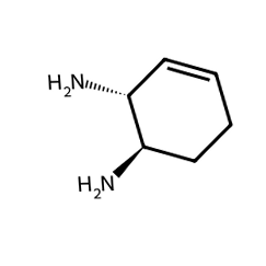 N[C@@H]1C=CCC[C@H]1N